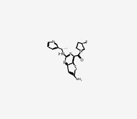 C[C@H](Nc1nc(C(=O)N2CC[C@@H](F)C2)c2sc(N)cc2n1)c1cccnc1